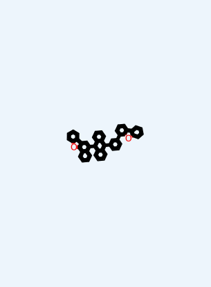 c1cc(-c2c3ccccc3c(-c3cc4c5ccccc5oc4c4ccccc34)c3ccccc23)cc(-c2cccc3c2oc2ccccc23)c1